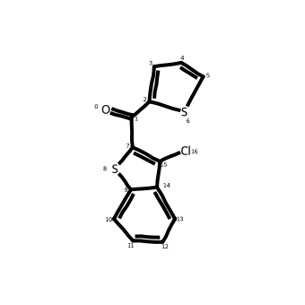 O=C(c1cccs1)c1sc2ccccc2c1Cl